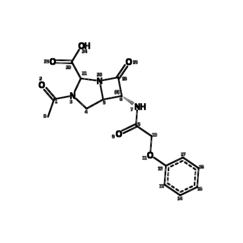 CC(=O)N1CC2[C@@H](NC(=O)COc3ccccc3)C(=O)N2C1C(=O)O